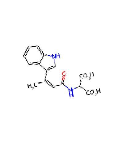 C/C(=C/C(=O)NC(C(=O)O)C(=O)O)c1c[nH]c2ccccc12